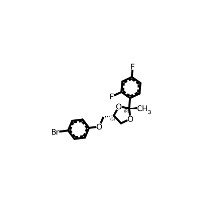 C[C@@]1(c2ccc(F)cc2F)OC[C@H](COc2ccc(Br)cc2)O1